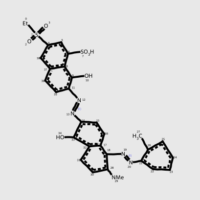 CCS(=O)(=O)c1cc(S(=O)(=O)O)c2c(O)c(/N=N/c3ccc4c(/N=N/c5ccccc5C)c(NC)ccc4c3O)ccc2c1